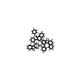 c1ccc(-n2c3cccc(-c4nc(-n5c6cccc7c6c6c8c(ccc65)oc5ccc6cccc-7c6c58)nc5sc6ccccc6c45)c3c3ccc4ccccc4c32)cc1